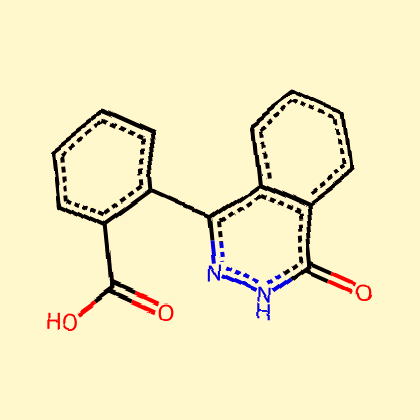 O=C(O)c1ccccc1-c1n[nH]c(=O)c2ccccc12